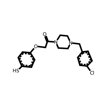 O=C(COc1ccc(S)cc1)N1CCN(Cc2ccc(Cl)cc2)CC1